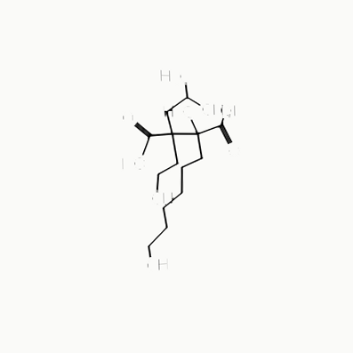 CCCCCCCC(C)(C(=O)O)C(CCC)(CC(C)C)C(=O)O